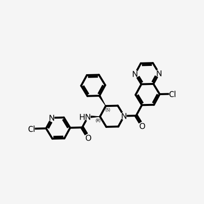 O=C(N[C@@H]1CCN(C(=O)c2cc(Cl)c3nccnc3c2)C[C@@H]1c1ccccc1)c1ccc(Cl)nc1